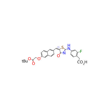 CC(C)(C)OC(=O)COc1ccc2cc(/C=C3/SC(Nc4ccc(CC(=O)O)c(F)c4)=NC3=O)ccc2c1